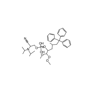 COOC(OC)C(CC(C)CC(c1ccccc1)(c1ccccc1)c1ccccc1)O[PH](O)(O)OCC(C#N)N(C(C)C)C(C)C